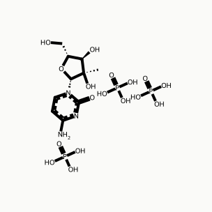 C[C@@]1(O)[C@H](O)[C@@H](CO)O[C@H]1n1ccc(N)nc1=O.O=P(O)(O)O.O=P(O)(O)O.O=P(O)(O)O